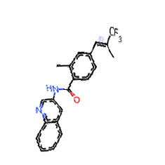 C/C(=C\c1ccc(C(=O)Nc2cnc3ccccc3c2)c(C)c1)C(F)(F)F